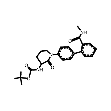 CNC(=O)c1ccccc1-c1ccc(N2CCCC(NC(=O)OC(C)(C)C)C2=O)cc1